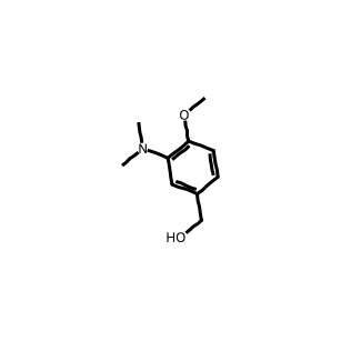 COc1ccc(CO)cc1N(C)C